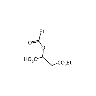 CCOC(=O)CC(OC(=O)CC)C(=O)O